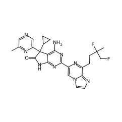 Cc1cncc(C2(C3CC3)C(=O)Nc3nc(-c4cn5ccnc5c(CCC(C)(F)CF)n4)nc(N)c32)n1